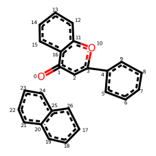 O=c1cc(-c2ccccc2)oc2ccccc12.c1ccc2ccccc2c1